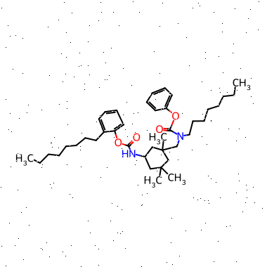 CCCCCCCCc1ccccc1OC(=O)NC1CC(C)(C)CC(C)(CN(CCCCCCCC)C(=O)Oc2ccccc2)C1